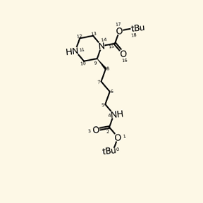 CC(C)(C)OC(=O)NCCCC[C@H]1CNCCN1C(=O)OC(C)(C)C